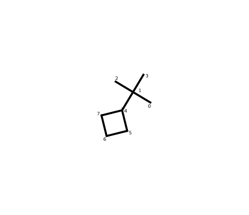 CC(C)(C)[C]1CCC1